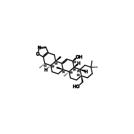 C[C@@H]1c2oncc2C[C@]2(C)C3=C[C@@H](O)[C@@H]4[C@@H]5CC(C)(C)CC[C@]5(CO)CC[C@@]4(C)[C@]3(C)CC[C@@H]12